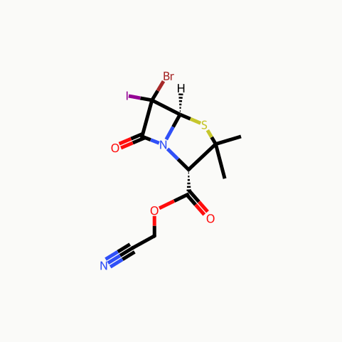 CC1(C)S[C@H]2N(C(=O)C2(Br)I)[C@H]1C(=O)OCC#N